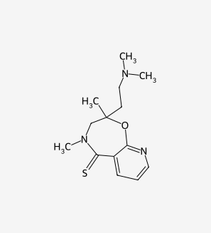 CN(C)CCC1(C)CN(C)C(=S)c2cccnc2O1